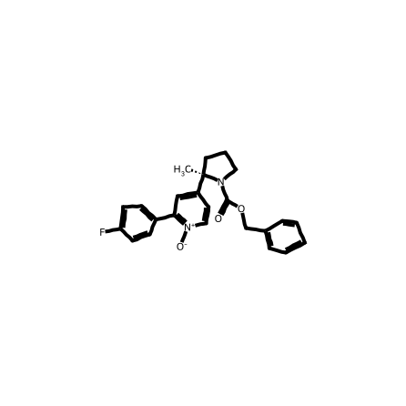 C[C@]1(c2cc[n+]([O-])c(-c3ccc(F)cc3)c2)CCCN1C(=O)OCc1ccccc1